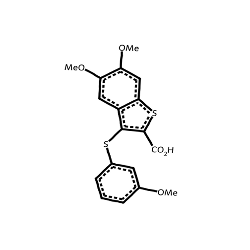 COc1cccc(Sc2c(C(=O)O)sc3cc(OC)c(OC)cc23)c1